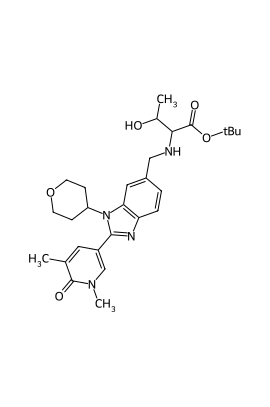 Cc1cc(-c2nc3ccc(CNC(C(=O)OC(C)(C)C)C(C)O)cc3n2C2CCOCC2)cn(C)c1=O